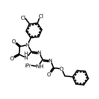 CC(C)NC(=N\C(=O)OCc1ccccc1)/N=C1\NC(=O)C(=O)N1c1ccc(Cl)c(Cl)c1